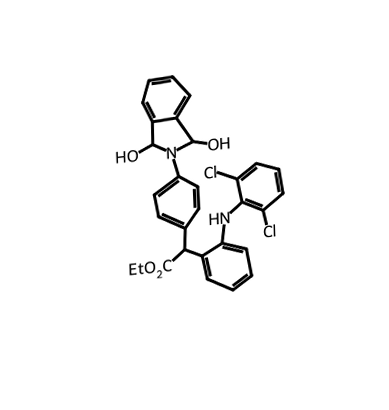 CCOC(=O)C(c1ccc(N2C(O)c3ccccc3C2O)cc1)c1ccccc1Nc1c(Cl)cccc1Cl